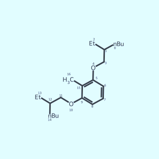 CCCCC(CC)COc1cccc(OCC(CC)CCCC)c1C